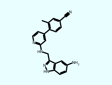 Cc1cc(C#N)ccc1-c1ccnc(NCc2n[nH]c3ccc(N)cc23)c1